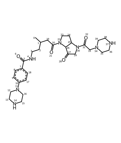 CC(CCNC(=O)c1ccc(N2CCNCC2)cc1)CC(=O)N1CCC2C1C(=O)CN2C(=O)CN1CCNCC1